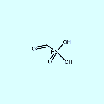 O=C[SH](=O)(O)O